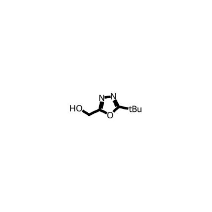 CC(C)(C)c1nnc(CO)o1